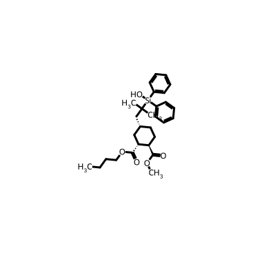 CCCCOC(=O)[C@@H]1C[C@H](CC(C)(C)[Si](O)(c2ccccc2)c2ccccc2)CC[C@H]1C(=O)OC